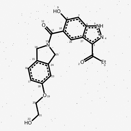 CCC(=O)c1n[nH]c2cc(O)c(C(=O)N3Cc4ccc(OCCO)cc4C3)cc12